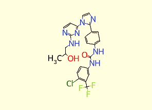 CC(O)CNc1nccc(-n2ccnc2-c2ccc(NC(=O)Nc3ccc(Cl)c(C(F)(F)F)c3)cc2)n1